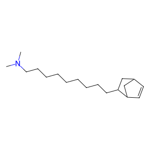 CN(C)CCCCCCCCCC1CC2C=CC1C2